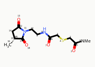 CNC(=O)CSCC(=O)NCCN1C(=O)C[C@@H](C)C1=O